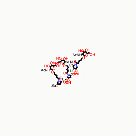 C=P(O)(OC[C@@H]1C[C@@H](OP(=C)(O)OC[C@@H]2C[C@@H](OC(C)(C)C)CN2C(=O)CCCCOC2OC(CO)C(O)C(O)C2NC(C)=O)CN1C(=O)CCCCOC1OC(CO)C(O)C(O)C1NC(C)=O)O[C@@H]1C[C@@H](CC)N(C(=O)CCCCOC2OC(CO)C(O)C(O)C2NC(C)=O)C1